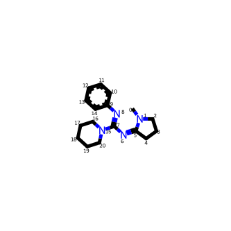 CN1CCC/C1=N/C(=N/c1ccccc1)N1CCCCC1